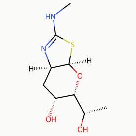 CNC1=N[C@@H]2C[C@@H](O)[C@@H]([C@H](C)O)O[C@@H]2S1